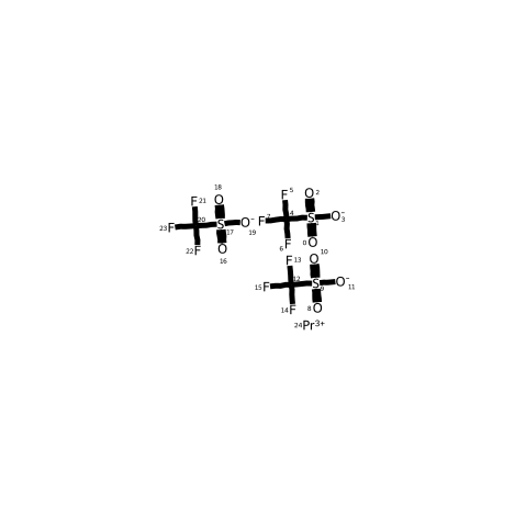 O=S(=O)([O-])C(F)(F)F.O=S(=O)([O-])C(F)(F)F.O=S(=O)([O-])C(F)(F)F.[Pr+3]